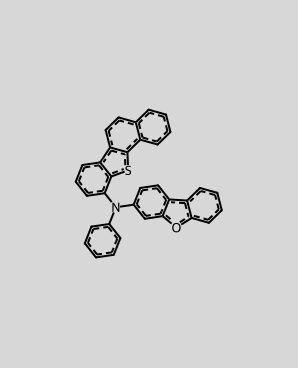 c1ccc(N(c2ccc3c(c2)oc2ccccc23)c2cccc3c2sc2c4ccccc4ccc32)cc1